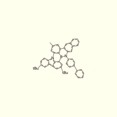 Cc1cc2c3c(c1)-n1c4ccc(C(C)(C)C)cc4c4cc(C(C)(C)C)cc(c41)B3N(c1ccc(-c3ccccc3)cc1)c1cc3ccccc3cc1-2